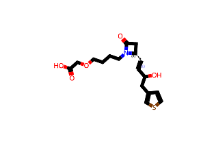 O=C(O)COCCCCN1C(=O)C[C@@H]1/C=C/C(O)Cc1ccsc1